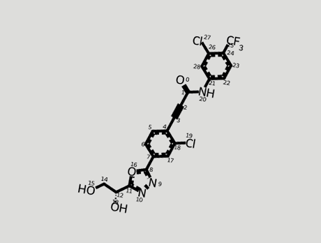 O=C(C#Cc1ccc(-c2nnc([C@H](O)CO)o2)cc1Cl)Nc1ccc(C(F)(F)F)c(Cl)c1